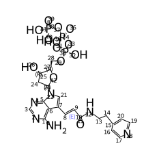 Nc1ncnc2c1c(/C=C/C(=O)NCCc1ccncc1)cn2[C@H]1C[C@@H](O)[C@@H](COP(=O)(O)OP(=O)(O)OP(=O)(O)O)O1